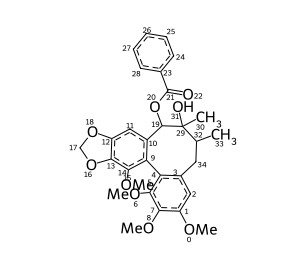 COc1cc2c(c(OC)c1OC)-c1c(cc3c(c1OC)OCO3)C(OC(=O)c1ccccc1)C(C)(O)C(C)C2